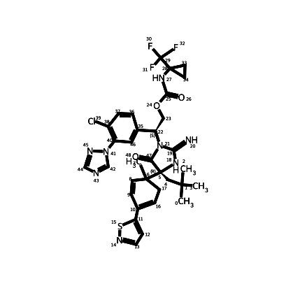 CC(C)(C)C[C@]1(C2(C)C=CC(c3ccns3)=CC2)NC(=N)N([C@H](COC(=O)NC2(C(F)(F)F)CC2)c2ccc(Cl)c(-n3cncn3)c2)C1=O